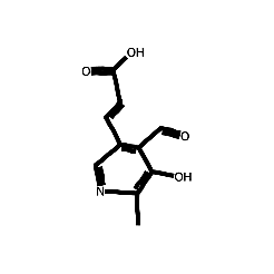 Cc1ncc(C=CC(=O)O)c(C=O)c1O